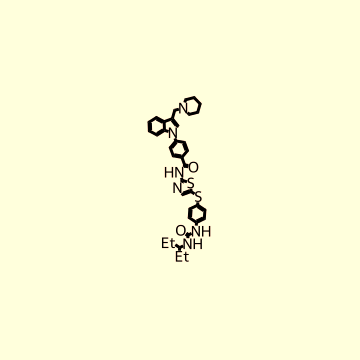 CCC(CC)NC(=O)Nc1ccc(Sc2cnc(NC(=O)c3ccc(-n4cc(CN5CCCCC5)c5ccccc54)cc3)s2)cc1